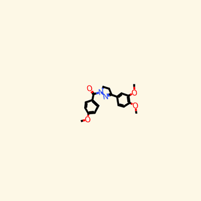 COc1ccc(C(=O)N2CCC(c3ccc(OC)c(OC)c3)=N2)cc1